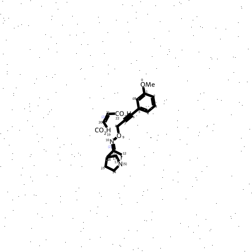 COc1cccc(C#CCO/N=C2\C[N@]3CCC2C3)c1.O=C(O)/C=C\C(=O)O